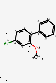 COc1cc(Br)ccc1-c1ccccc1